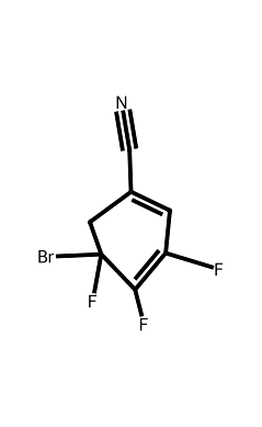 N#CC1=CC(F)=C(F)C(F)(Br)C1